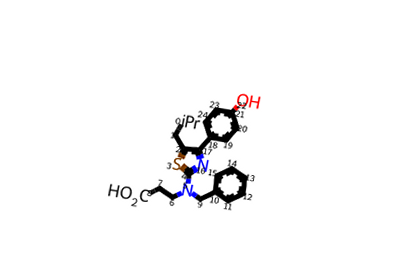 CC(C)Cc1sc(N(CCC(=O)O)Cc2ccccc2)nc1-c1ccc(O)cc1